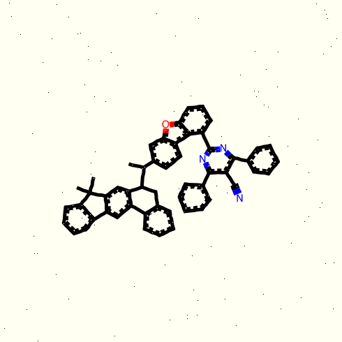 CC(c1ccc2c(c1)oc1cccc(-c3nc(-c4ccccc4)c(C#N)c(-c4ccccc4)n3)c12)C1Cc2ccccc2-c2cc3c(cc21)C(C)(C)c1ccccc1-3